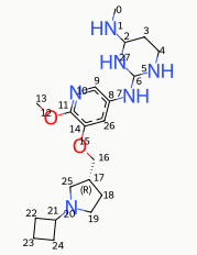 CNC1CCNC(Nc2cnc(OC)c(OC[C@@H]3CCN(C4CCC4)C3)c2)N1